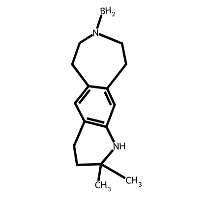 BN1CCc2cc3c(cc2CC1)NC(C)(C)CC3